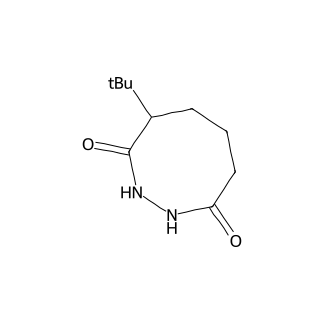 CC(C)(C)C1CCCC(=O)NNC1=O